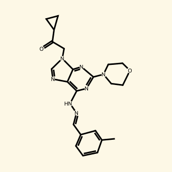 Cc1cccc(/C=N/Nc2nc(N3CCOCC3)nc3c2ncn3CC(=O)C2CC2)c1